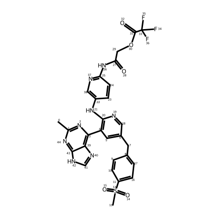 Cc1nc(-c2cc(Cc3ccc(S(C)(=O)=O)cc3)cnc2Nc2ccc(NC(=O)COC(=O)C(F)(F)F)nc2)c2nc[nH]c2n1